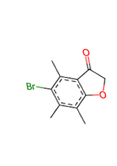 Cc1c(C)c2c(c(C)c1Br)C(=O)CO2